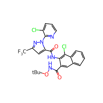 CC(C)(C)ONC(=O)c1cc2ccccc2c(Cl)c1NC(=O)c1cc(C(F)(F)F)nn1-c1ncccc1Cl